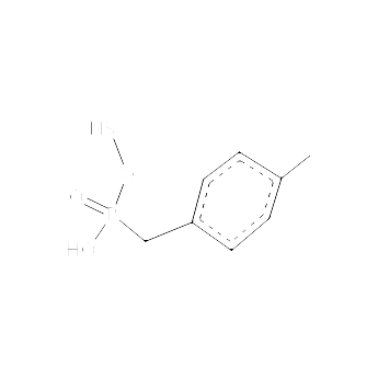 Cc1ccc(CP(=O)(O)OS)cc1